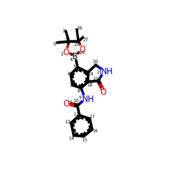 CC1(C)OB(c2ccc(NC(=O)c3ccccc3)c3c2CNC3=O)OC1(C)C